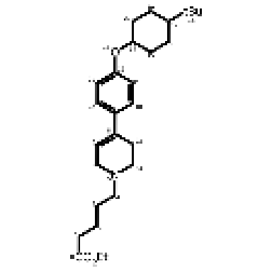 CCOC(=O)CCCCN1CC=C(c2ccc(OC3CCC(C(C)(C)C)CC3)cc2)CC1